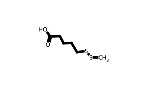 CSSCCCCC(=O)O